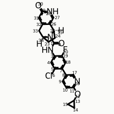 O=C(Nc1cc(Cl)c(-c2ccc(OC3CC3)nc2)cc1F)N1[C@H]2CC[C@@H]1c1c[nH]c(=O)cc1C2